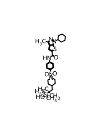 Cc1nn(C2CCCCC2)c2sc(C(=O)Nc3ccc(S(=O)(=O)N4CCC(CC(C)(C)[Si](C)(C)O)CC4)cc3)cc12